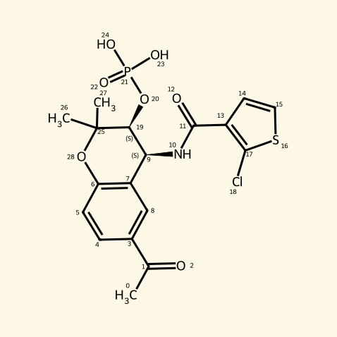 CC(=O)c1ccc2c(c1)[C@H](NC(=O)c1ccsc1Cl)[C@H](OP(=O)(O)O)C(C)(C)O2